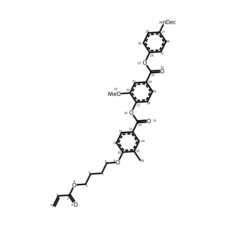 C=CC(=O)OCCCCOc1ccc(C(=O)Oc2ccc(C(=O)Oc3ccc(CCCCCCCCCC)cc3)cc2OC)cc1C